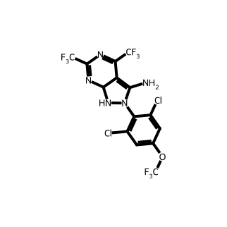 NC1=C2C(C(F)(F)F)=NC(C(F)(F)F)=NC2NN1c1c(Cl)cc(OC(F)(F)F)cc1Cl